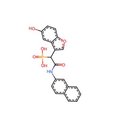 O=C(Nc1ccc2ccccc2c1)C(c1coc2ccc(O)cc12)P(=O)(O)O